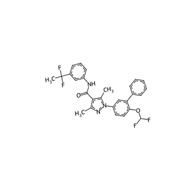 Cc1nn(-c2ccc(OC(F)F)c(-c3ccccc3)c2)c(C)c1C(=O)Nc1cccc(C(C)(F)F)c1